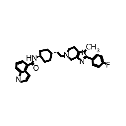 Cn1c(-c2ccc(F)cc2)nc2c1CCN(CC[C@H]1CC[C@H](NC(=O)c3cccc4ncccc34)CC1)C2